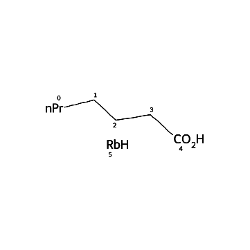 CCCCCCC(=O)O.[RbH]